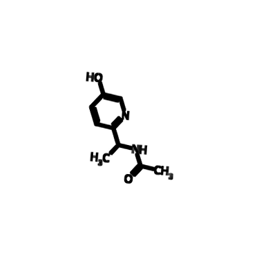 CC(=O)NC(C)c1ccc(O)cn1